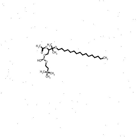 CCCCCCCCCCCCCCCCOC(C)(C)C(COP(O)OCC[N+](C)(C)C)OC(C)=O